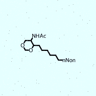 CCCCCCCCCCCCCCCC1OCOCC1NC(C)=O